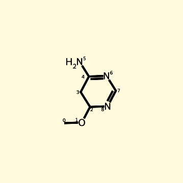 COC1CC(N)=NC=N1